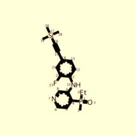 CCP(C)(=O)c1ccncc1Nc1ccc(C#C[Si](C)(C)C)cc1F